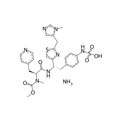 COC(=O)N(C)[C@@H](Cc1ccncc1)C(=O)N[C@@H](Cc1ccc(NS(=O)(=O)O)cc1)c1csc(Cc2cncn2C)n1.N